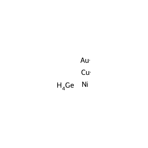 [Au].[Cu].[GeH4].[Ni]